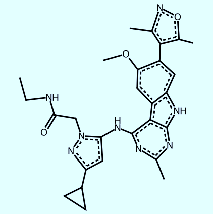 CCNC(=O)Cn1nc(C2CC2)cc1Nc1nc(C)nc2[nH]c3cc(-c4c(C)noc4C)c(OC)cc3c12